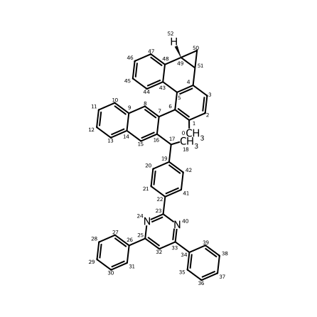 Cc1ccc2c(c1-c1cc3ccccc3cc1C(C)c1ccc(-c3nc(-c4ccccc4)cc(-c4ccccc4)n3)cc1)-c1ccccc1[C@@H]1CC21